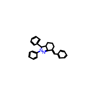 C(=C1/CCCC2C1=NN(c1ccccc1)C2c1ccccc1)/c1ccccc1